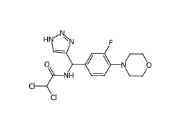 O=C(NC(c1ccc(N2CCOCC2)c(F)c1)c1c[nH]nn1)C(Cl)Cl